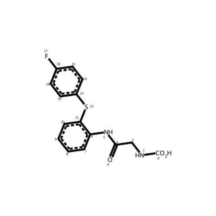 O=C(O)NCC(=O)Nc1ccccc1Sc1ccc(F)cc1